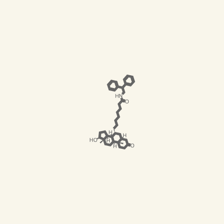 C[C@]12CCC(=O)C[C@@H]1C[C@@H](CCCCCCCC(=O)NCC(c1ccccc1)c1ccccc1)[C@@H]1[C@@H]2CC[C@]2(C)[C@@H](O)CC[C@@H]12